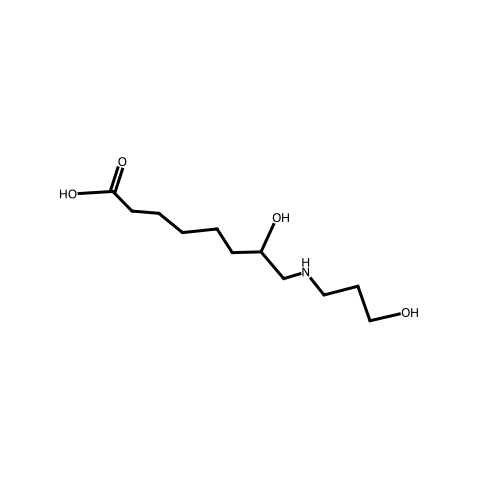 O=C(O)CCCCCC(O)CNCCCO